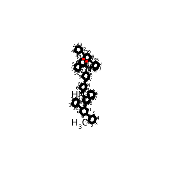 Cc1ccccc1-c1ccc(-c2ccccc2)c(-c2cc(Nc3ccc(-c4ccc(N(c5ccccc5-c5ccc(-c6ccccc6)cc5)c5cccc6ccccc56)cc4)cc3)c3ccccc3c2)c1